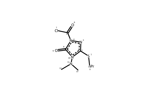 CCCSc1nn(C(=O)Cl)c(=O)n1N(C)C